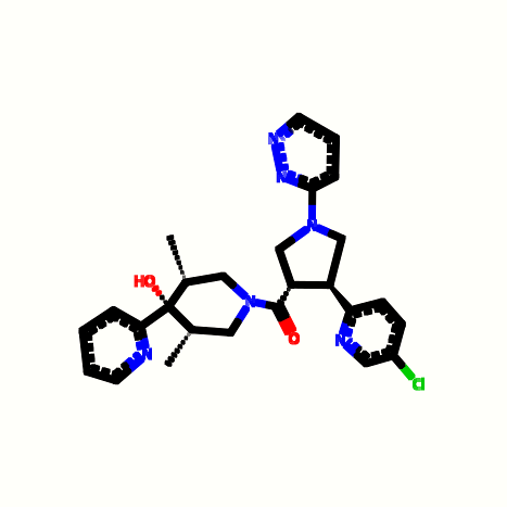 C[C@@H]1CN(C(=O)[C@@H]2CN(c3cccnn3)C[C@H]2c2ccc(Cl)cn2)C[C@H](C)[C@@]1(O)c1ccccn1